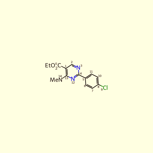 CCOC(=O)c1cnc(-c2ccc(Cl)cc2)nc1NC